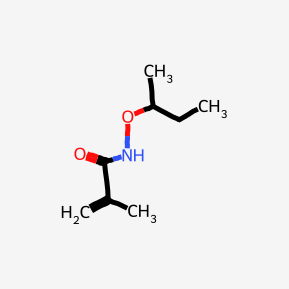 C=C(C)C(=O)NOC(C)CC